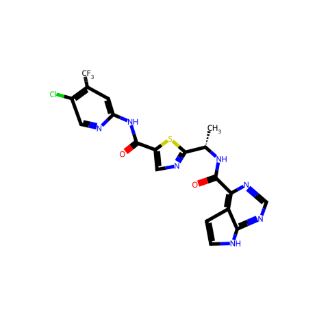 C[C@H](NC(=O)c1ncnc2[nH]ccc12)c1ncc(C(=O)Nc2cc(C(F)(F)F)c(Cl)cn2)s1